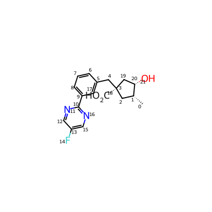 C[C@@H]1C[C@](Cc2cccc(-c3ncc(F)cn3)c2)(C(=O)O)C[C@@H]1O